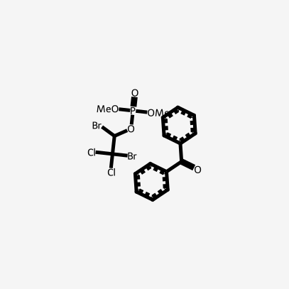 COP(=O)(OC)OC(Br)C(Cl)(Cl)Br.O=C(c1ccccc1)c1ccccc1